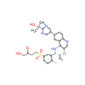 C[C@@H](Nc1c(Cl)cnc2ccc(-c3cnc(C(C)(C)O)nc3)cc12)c1cc(S(=O)(=O)CCC(=O)CO)ccc1F